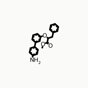 COC(=O)C(Cc1ccccc1)Oc1cccc(-c2ccc(N)cc2)c1